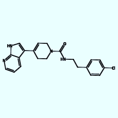 O=C(NCCc1ccc(Cl)cc1)N1CC=C(c2c[nH]c3ncccc23)CC1